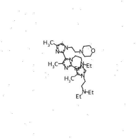 CCN(CC)CCn1cnc(-c2nc(C)c(-c3nc(C)[c]n3CCN3CCOCC3)n2CCN(CC)CC)c1C